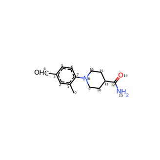 Cc1cc(C=O)ccc1N1CCC(C(N)=O)CC1